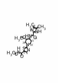 CONC(=O)c1cnc(N2CCC(NC(=O)c3nc(C)c(C)[nH]3)[C@@H](OC)C2)s1